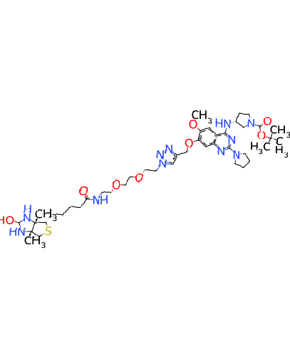 COc1cc2c(N[C@@H]3CCN(C(=O)OC(C)(C)C)C3)nc(N3CCCC3)nc2cc1OCc1cn(CCOCCOCCNC(=O)CCCC[C@@H]2SC[C@]3(C)NC(O)N[C@]23C)nn1